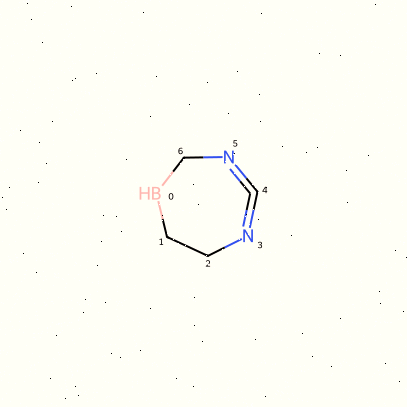 B1CCN=C=NC1